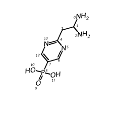 NC(N)Cc1ncc(P(=O)(O)O)cn1